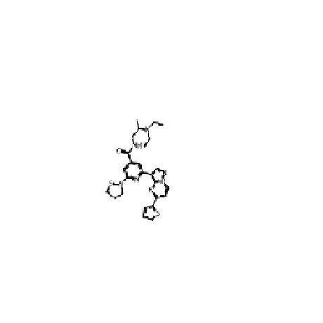 CCN(CC)C(C)CNC(=O)c1cc(-c2cnn3ccc(-c4cccs4)nc23)nc(N2CCCS2)c1